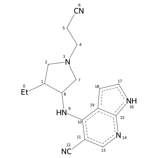 CCC1CN(CCC#N)CC1Nc1c(C#N)cnc2[nH]ccc12